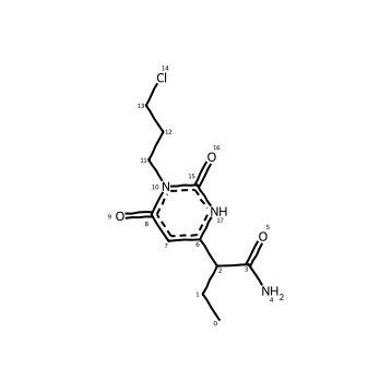 CCC(C(N)=O)c1cc(=O)n(CCCCl)c(=O)[nH]1